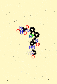 COc1nc(-c2cccc(-c3cccc(NC(=O)c4cn(C)c(=O)n(C)c4=O)c3C#N)c2Cl)cc2c1C(NCC1CCC(=O)N1)CC2